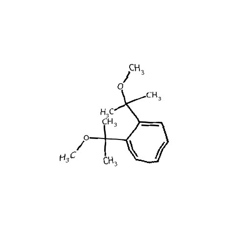 COC(C)(C)c1ccccc1C(C)(C)OC